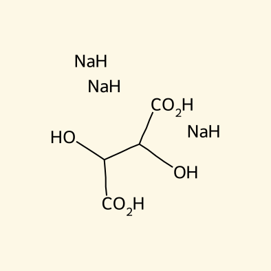 O=C(O)C(O)C(O)C(=O)O.[NaH].[NaH].[NaH]